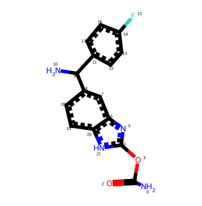 NC(=O)Oc1nc2cc(C(N)c3ccc(F)cc3)ccc2[nH]1